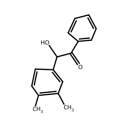 Cc1ccc(C(O)C(=O)c2ccccc2)cc1C